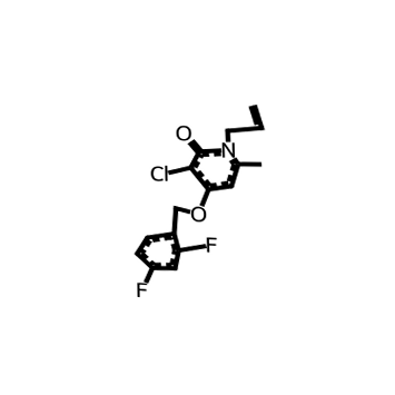 C=CCn1c(C)cc(OCc2ccc(F)cc2F)c(Cl)c1=O